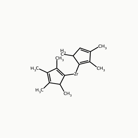 CC1=CC(C)[C]([Zr][C]2=C(C)C(C)=C(C)C2C)=C1C